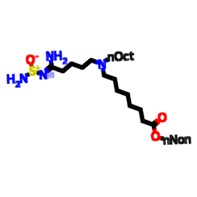 CCCCCCCCCOC(=O)CCCCCCCN(CCCCCCCC)CCCC/C(N)=N/[S+](N)[O-]